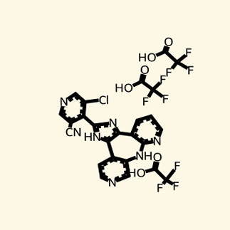 N#Cc1cncc(Cl)c1-c1nc2c([nH]1)-c1ccncc1Nc1ncccc1-2.O=C(O)C(F)(F)F.O=C(O)C(F)(F)F.O=C(O)C(F)(F)F